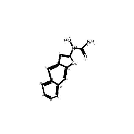 NC(=O)N(O)c1cc2cc3ccccc3cc2s1